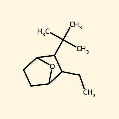 CCC1C2CCC(O2)C1C(C)(C)C